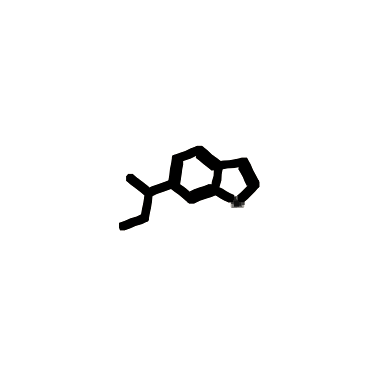 CCC(C)c1ccc2cc[se]c2c1